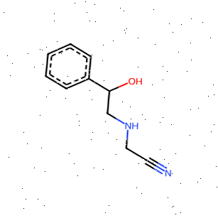 N#CCNCC(O)c1ccccc1